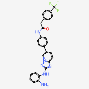 Nc1ccccc1Nc1nc2ccc(-c3ccc(NC(=O)Cc4ccc(C(F)(F)F)cc4)cc3)cn2n1